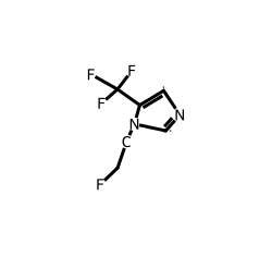 FCCn1[c]n[c]c1C(F)(F)F